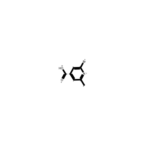 Cc1cccc(Br)n1.O=CO